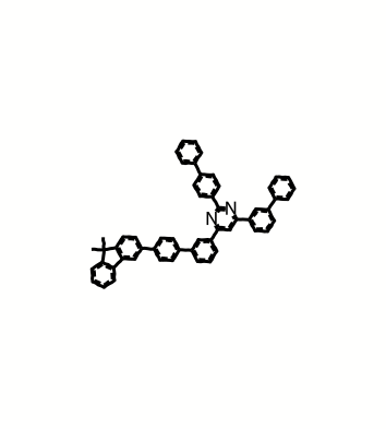 CC1(C)c2ccccc2-c2cc(-c3ccc(-c4cccc(-c5cc(-c6cccc(-c7ccccc7)c6)nc(-c6ccc(-c7ccccc7)cc6)n5)c4)cc3)ccc21